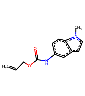 C=CCOC(=O)Nc1ccc2c(ccn2C)c1